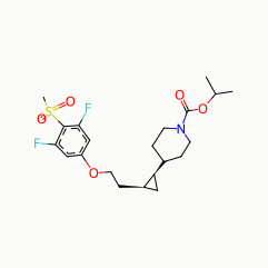 CC(C)OC(=O)N1CCC([C@H]2C[C@H]2CCOc2cc(F)c(S(C)(=O)=O)c(F)c2)CC1